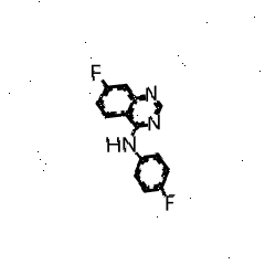 Fc1ccc(Nc2ncnc3cc(F)ccc23)cc1